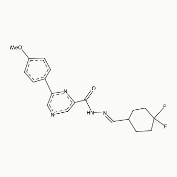 COc1ccc(-c2cncc(C(=O)NN=CC3CCC(F)(F)CC3)n2)cc1